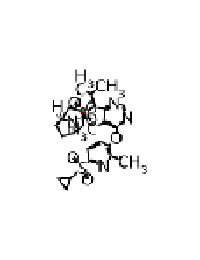 Cc1nc(S(=O)(=O)C2CC2)ccc1Oc1ncnc(O[C@H]2CC3CC[C@@H](C2)N3S(=O)(=O)CC(C)C)c1C